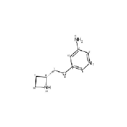 Nc1cncc(OC[C@H]2CCN2)c1